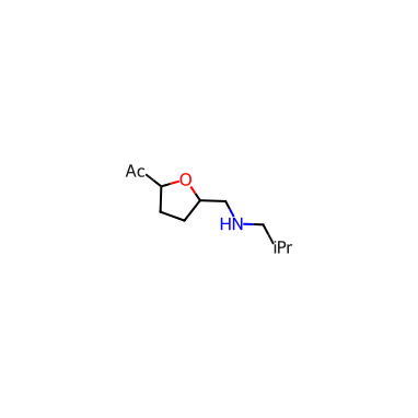 CC(=O)C1CCC(CNCC(C)C)O1